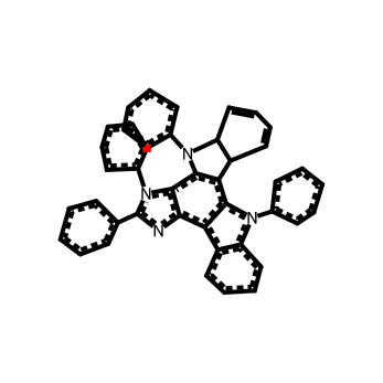 C1=CC2c3c(c4c(nc(-c5ccccc5)n4-c4ccccc4)c4c5ccccc5n(-c5ccccc5)c34)N(c3ccccc3)C2C=C1